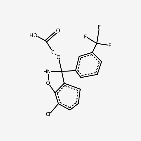 O=C(O)COC1(c2cccc(C(F)(F)F)c2)NOc2c(Cl)cccc21